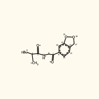 CCCCC(C)C(=O)NCC(=O)c1ccc2c(c1)OOC2